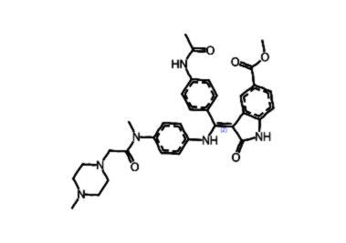 COC(=O)c1ccc2c(c1)/C(=C(/Nc1ccc(N(C)C(=O)CN3CCN(C)CC3)cc1)c1ccc(NC(C)=O)cc1)C(=O)N2